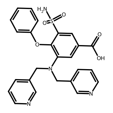 NS(=O)(=O)c1cc(C(=O)O)cc(N(Cc2cccnc2)Cc2cccnc2)c1Oc1ccccc1